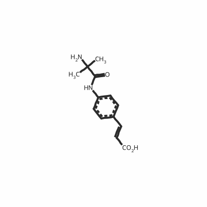 CC(C)(N)C(=O)Nc1ccc(C=CC(=O)O)cc1